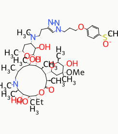 CC[C@H]1OC(=O)[C@H](C)[C@@H](C2C[C@@](C)(OC)[C@@H](O)[C@H](C)O2)[C@H](C)[C@@H](O[C@@H]2O[C@H](C)C[C@H](N(C)CCc3cn(CCCOc4ccc([S+](C)[O-])cc4)nn3)[C@H]2O)[C@](C)(O)C[C@@H](C)CN(C)[C@H](C)[C@@H](O)[C@]1(C)O